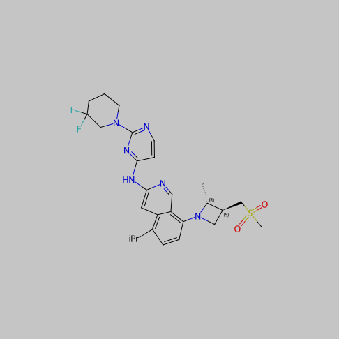 CC(C)c1ccc(N2C[C@H](CS(C)(=O)=O)[C@H]2C)c2cnc(Nc3ccnc(N4CCCC(F)(F)C4)n3)cc12